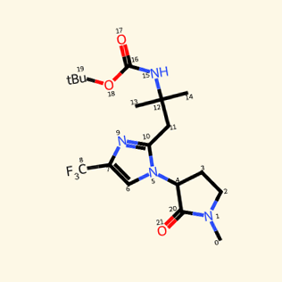 CN1CCC(n2cc(C(F)(F)F)nc2CC(C)(C)NC(=O)OC(C)(C)C)C1=O